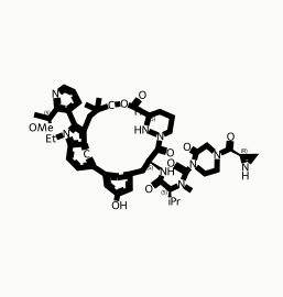 CCn1c(-c2cccnc2[C@H](C)OC)c2c3cc(ccc31)-c1cc(O)cc(c1)C[C@H](NC(=O)[C@H](C(C)C)N(C)C(=O)N1CCN(C(=O)[C@H]3CN3)CC1=O)C(=O)N1CCC[C@H](N1)C(=O)OCC(C)(C)C2